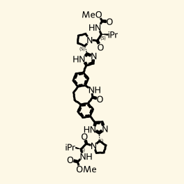 COC(=O)N[C@H](C(=O)N1CCC[C@H]1c1ncc(-c2ccc3c(c2)NC(=O)c2cc(-c4cnc([C@@H]5CCCN5C(=O)[C@@H](NC(=O)OC)C(C)C)[nH]4)ccc2CC3)[nH]1)C(C)C